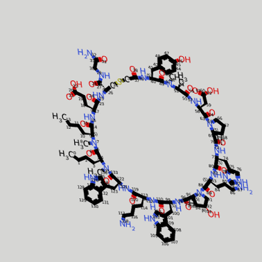 CCCC[C@H]1C(=O)N(C)[C@@H](CCCC)C(=O)N[C@@H](CCC(=O)O)C(=O)N[C@H](C(=O)NCC(N)=O)CSCC(=O)N[C@@H](Cc2ccc(O)cc2)C(=O)N(C)[C@@H](C)C(=O)N[C@@H](CC(=O)O)C(=O)N2CCC[C@H]2C(=O)N[C@@H](Cc2c[nH]cn2)C(=O)N[C@@H](CCCN)C(=O)N2C[C@H](O)C[C@H]2C(=O)N[C@@H](Cc2c[nH]c3ccccc23)C(=O)N[C@@H](CCCCN)C(=O)N[C@@H](Cc2c[nH]c3ccccc23)C(=O)N1C